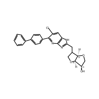 O[C@@H]1CO[C@@H]2C(Cc3nc4nc(-c5ccc(-c6ccccc6)cc5)c(Cl)cc4[nH]3)CO[C@H]12